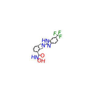 O=C(NO)c1cccc2c1CN(c1nc3ccc(C(F)(F)F)cc3[nH]1)C2